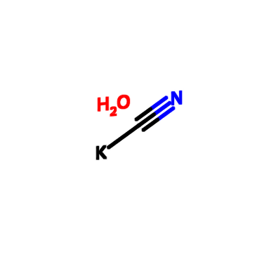 N#[C][K].O